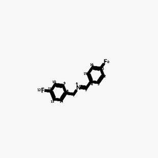 Fc1ccc(/C=N/Cc2ccc(F)cc2)cc1